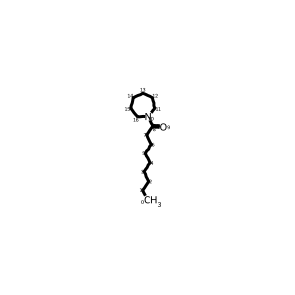 CCCCCCCCC(=O)N1CCCCCC1